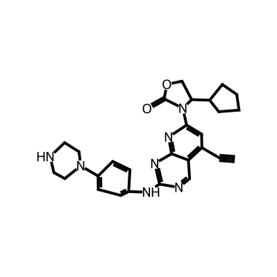 C#Cc1cc(N2C(=O)OCC2C2CCCC2)nc2nc(Nc3ccc(N4CCNCC4)cc3)ncc12